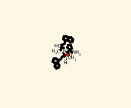 CCC(O)(CCc1cccc2ccccc12)CN(CC(O)(CC)CCc1cccc2ccccc12)C(=O)C1(C(N)=O)CCCC1